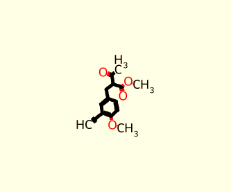 C#Cc1cc(CC(C(C)=O)C(=O)OC)ccc1OC